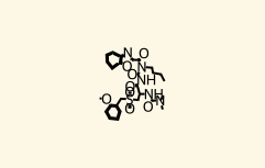 CCCCN(C(=O)NC(=O)C(CS(=O)(=O)Cc1ccccc1OC)NC(=O)N(C)C)C(=O)c1nc2ccccc2o1